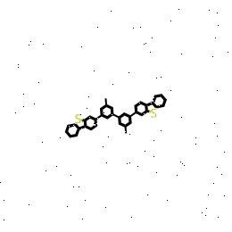 Cc1cc(-c2cc(C)cc(-c3ccc4c(c3)sc3ccccc34)c2)cc(-c2ccc3c(c2)sc2ccccc23)c1